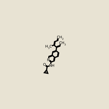 C=C/C=C(C)\C(=C/C)c1ccc2cc(NC(=O)C3CC3)ncc2c1